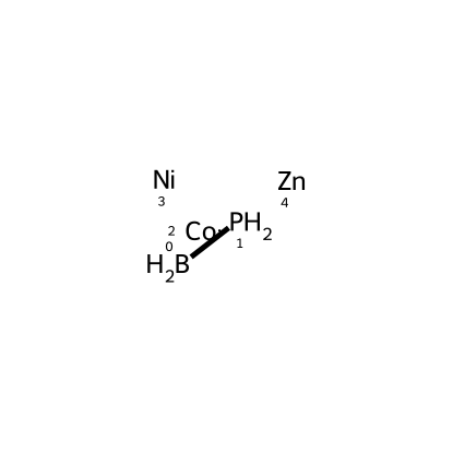 BP.[Co].[Ni].[Zn]